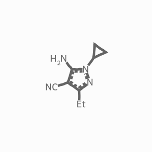 CCc1nn(C2CC2)c(N)c1C#N